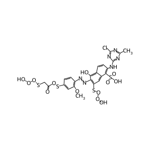 COc1cc(SOC(=O)CSOOO)ccc1N=Nc1c(SOOO)cc2c(S(=O)(=O)O)c(Nc3nc(C)nc(Cl)n3)ccc2c1O